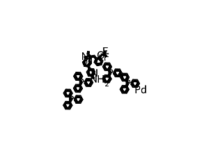 Cc1nc2ccc(-c3ccc(N)nc3)cn2c1Cc1ccccc1OC(F)F.[Pd].c1ccc(P(c2ccccc2)c2ccccc2)cc1.c1ccc(P(c2ccccc2)c2ccccc2)cc1.c1ccc(P(c2ccccc2)c2ccccc2)cc1.c1ccc(P(c2ccccc2)c2ccccc2)cc1